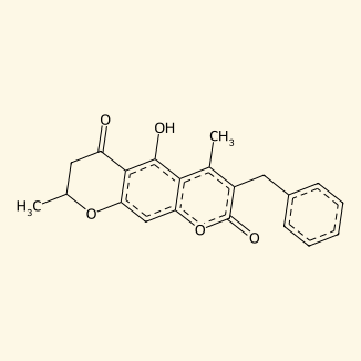 Cc1c(Cc2ccccc2)c(=O)oc2cc3c(c(O)c12)C(=O)CC(C)O3